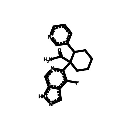 NC(=O)C1(c2ncc3[nH]ncc3c2F)CCCCC1c1cccnc1